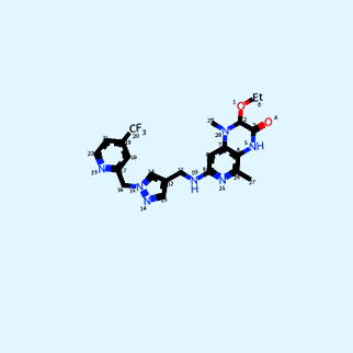 CCOC1C(=O)Nc2c(cc(NCc3cnn(Cc4cc(C(F)(F)F)ccn4)c3)nc2C)N1C